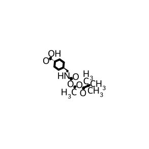 CC(OC(=O)NC[C@H]1CC[C@H](C(=O)O)CC1)OC(=O)C(C)(C)C